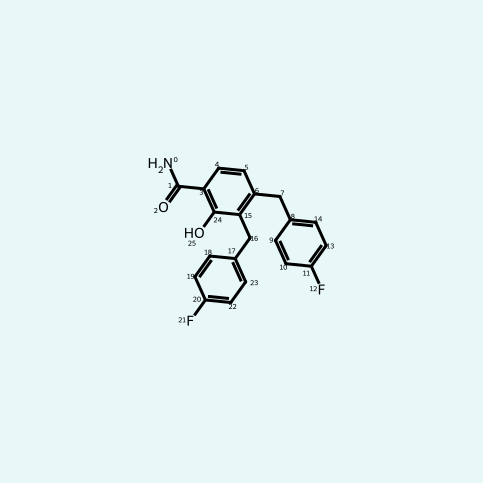 NC(=O)c1ccc(Cc2ccc(F)cc2)c(Cc2ccc(F)cc2)c1O